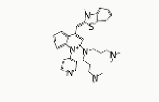 CN(C)CCCN(CCCN(C)C)c1cc(/C=C2\Sc3ccccc3N2C)c2ccccc2[n+]1-c1ccncc1